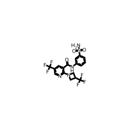 NS(=O)(=O)c1cccc(NC(=O)c2cc(C(F)(F)F)cnc2N2CC(C(F)(F)F)C2)c1